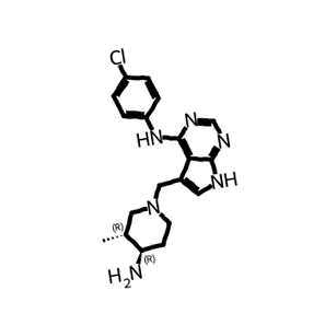 C[C@@H]1CN(Cc2c[nH]c3ncnc(Nc4ccc(Cl)cc4)c23)CC[C@H]1N